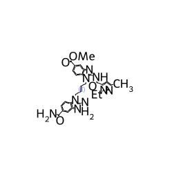 CCn1nc(C)cc1C(=O)Nc1nc2cc(C(=O)OC)ccc2n1C/C=C/Cn1c(N)nc2cc(C(N)=O)ccc21